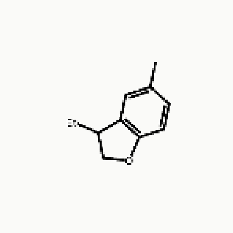 CCC1COc2ccc(C)cc21